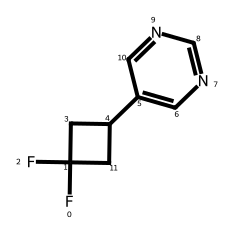 FC1(F)CC(c2cncnc2)C1